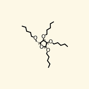 CCCCCOC[C@H]1O[C@@H](OCCCCC)[C@H](OCCCCC)[C@@H]1OCCCCC